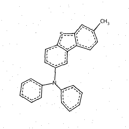 Cc1ccc2c(c1)sc1ccc(N(c3ccccc3)c3ccccc3)cc12